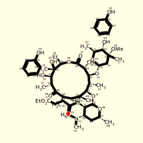 CCOC(=O)CCC(=O)O[C@H]1[C@H](O[C@@H]2[C@@H](C)[C@H](O[C@H]3C[C@@](C)(OC)[C@@H](O)[C@H](C)O3)[C@@H](C)C(=O)O[C@H](CC)[C@@](C)(O)[C@H](O)[C@@H](C)C(=O)[C@H](C)C[C@@]2(C)O)O[C@H](C)C[C@@H]1N(C)C.Oc1ccccc1.Oc1ccccc1